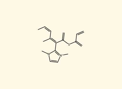 C=CC(=C)SC(=C)/C(=C(C)\C=C/C)c1n(C)cc[n+]1C